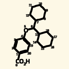 O=C(O)c1ccc(OC(C2CCCCC2)C2CCCCC2)cc1